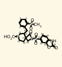 CS(=O)(=O)c1ccccc1CC1CN(C(=O)O)CCC12CN(S(=O)(=O)c1ccc3[nH]c(=O)oc3c1)C2Cl